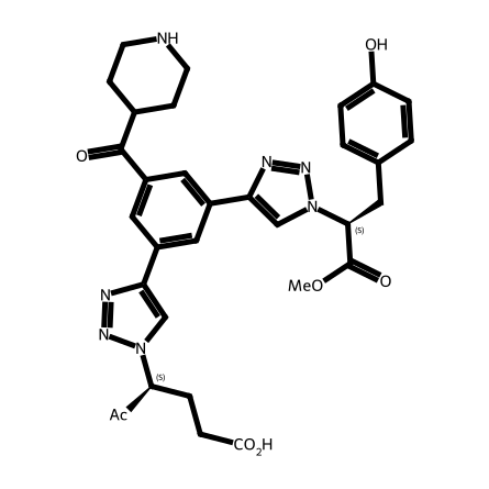 COC(=O)[C@H](Cc1ccc(O)cc1)n1cc(-c2cc(C(=O)C3CCNCC3)cc(-c3cn([C@@H](CCC(=O)O)C(C)=O)nn3)c2)nn1